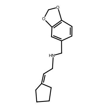 C(CNCc1ccc2c(c1)OCO2)=C1CCCC1